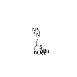 CCCCCCCCCC(CCn1ccnc1)SCCCC